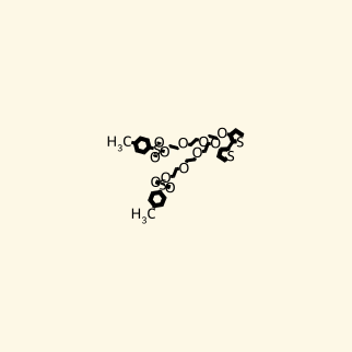 Cc1ccc(S(=O)(=O)OCCOCCOCCOc2ccsc2-c2sccc2OCCOCCOCCOS(=O)(=O)c2ccc(C)cc2)cc1